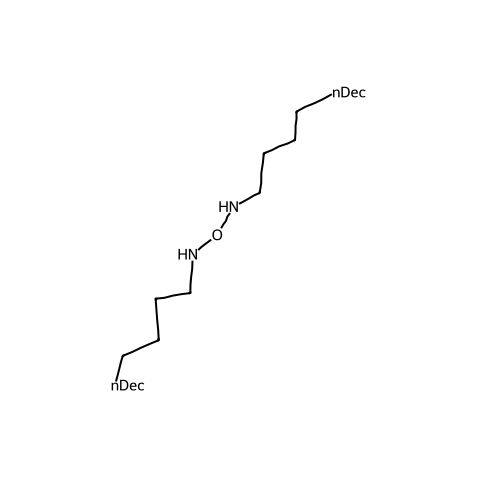 CCCCCCCCCCCCCCNONCCCCCCCCCCCCCC